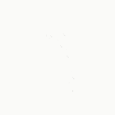 Nc1nccc(N2CCC(NC(=O)O)CC2)n1